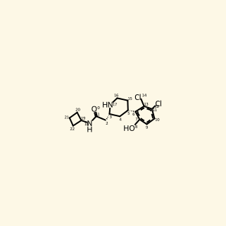 O=C(C[C@H]1C[C@@H](c2c(O)ccc(Cl)c2Cl)CCN1)NC1CCC1